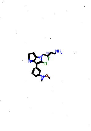 CSN(C)c1cccc(-c2c(Cl)n(C/C(F)=C/CN)c3cccnc23)c1